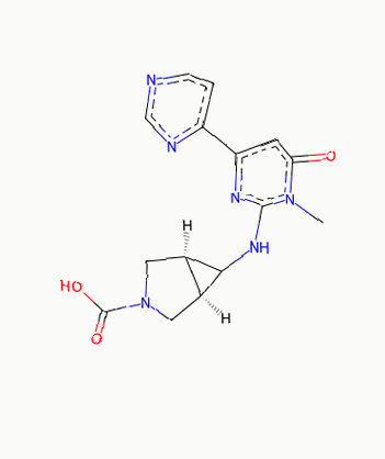 Cn1c(NC2[C@H]3CN(C(=O)O)C[C@@H]23)nc(-c2ccncn2)cc1=O